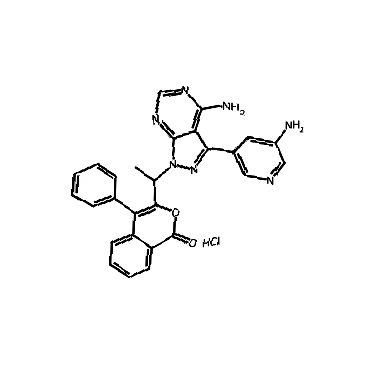 CC(c1oc(=O)c2ccccc2c1-c1ccccc1)n1nc(-c2cncc(N)c2)c2c(N)ncnc21.Cl